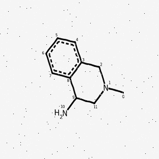 CN1Cc2ccccc2C(N)C1